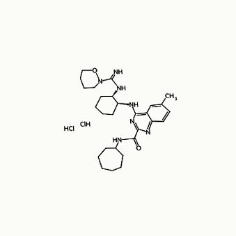 Cc1ccc2nc(C(=O)NC3CCCCCC3)nc(N[C@H]3CCCC[C@H]3NC(=N)N3CCCCO3)c2c1.Cl.Cl